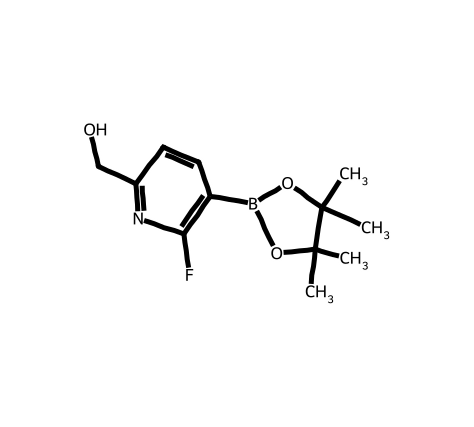 CC1(C)OB(c2ccc(CO)nc2F)OC1(C)C